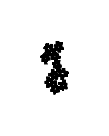 C1=CC(c2cccc3c2sc2c(-c4ccc5c(c4)c4ccccc4n5-c4ccc(-c5ccc6c(-c7ccccc7)c7ccccc7c(-c7ccccc7)c6c5)cc4)cccc23)=CCC1